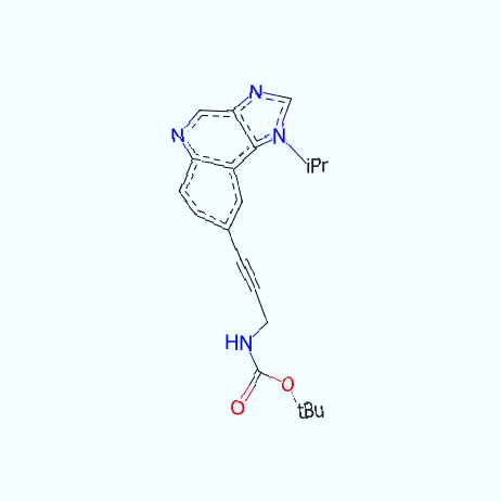 CC(C)n1cnc2cnc3ccc(C#CCNC(=O)OC(C)(C)C)cc3c21